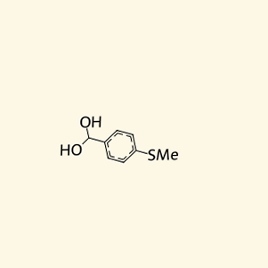 CSc1ccc(C(O)O)cc1